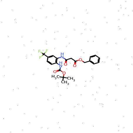 CC(C)(C)OC(=O)Nc1ccc(C(F)(F)F)cc1NC(=O)CC(=O)OCc1ccccc1